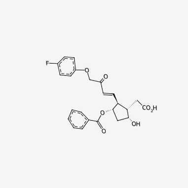 O=C(O)C[C@H]1[C@H](C=CC(=O)COc2ccc(F)cc2)[C@@H](OC(=O)c2ccccc2)C[C@H]1O